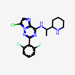 CC(Nc1nc(-c2c(F)cccc2F)nn2c(Cl)cnc12)C1CCCCN1